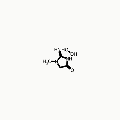 CN1CC(=O)NC1=N.OO